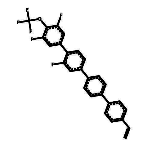 C=Cc1ccc(-c2ccc(-c3ccc(-c4cc(F)c(OC(F)(F)F)c(F)c4)c(F)c3)cc2)cc1